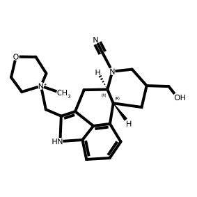 C[N+]1(Cc2[nH]c3cccc4c3c2C[C@@H]2[C@@H]4CC(CO)CN2C#N)CCOCC1